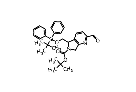 CC(C)(C)OC(=O)N1Cc2nc(C=O)ccc2C1CO[Si](c1ccccc1)(c1ccccc1)C(C)(C)C